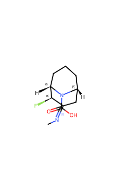 C/N=C1/C[C@H]2CCC[C@@H]([C@@H]1F)N2C(=O)O